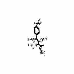 CN/C(=C(/O)C(N)/C(C)=N/N)c1ccc(C(F)(F)F)cc1